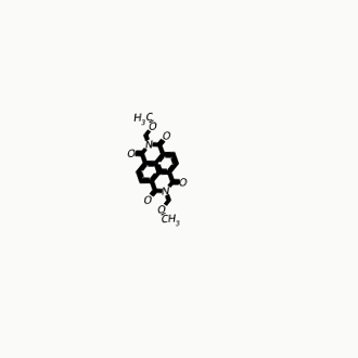 COCN1C(=O)c2ccc3c4c(ccc(c24)C1=O)C(=O)N(COC)C3=O